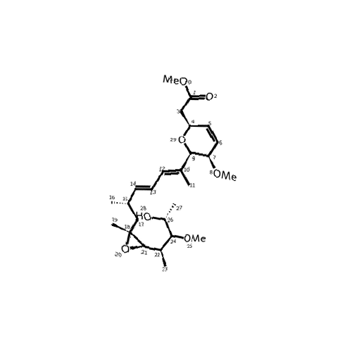 COC(=O)C[C@H]1C=C[C@@H](OC)[C@@H](/C(C)=C/C=C/[C@@H](C)C[C@@]2(C)O[C@@H]2[C@H](C)C(OC)[C@@H](C)O)O1